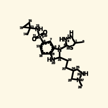 CC1NNC(N2c3cc(S(=O)(=O)NC4(C)CC4)ccc3NC2CCC2CNN(C)C2)S1